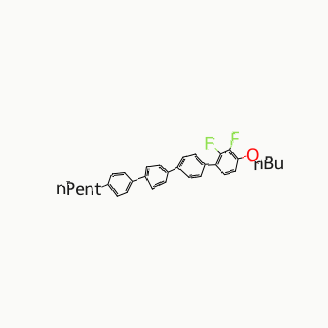 CCCCCc1ccc(-c2ccc(-c3ccc(-c4ccc(OCCCC)c(F)c4F)cc3)cc2)cc1